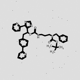 CC(C)(C)OC(=O)N(CCCNC(=O)OC(Cc1ccc(-c2ccccn2)cc1)c1scnc1-c1ccccn1)Cc1ccccc1